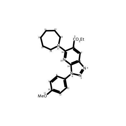 CCOC(=O)c1cc2nnn(-c3ccc(OC)cc3)c2nc1N1CCCCCC1